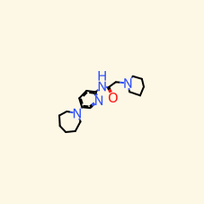 O=C(CN1CCCCC1)Nc1ccc(N2CCCCCC2)cn1